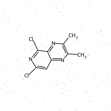 Cc1nc2cc(Cl)nc(Cl)c2nc1C